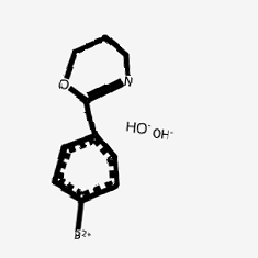 [B+2]c1ccc(C2=NCCCO2)cc1.[OH-].[OH-]